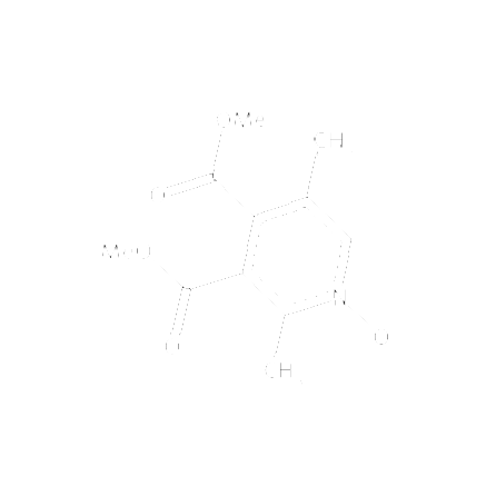 COC(=O)c1c(C)c[n+]([O-])c(C)c1C(=O)OC